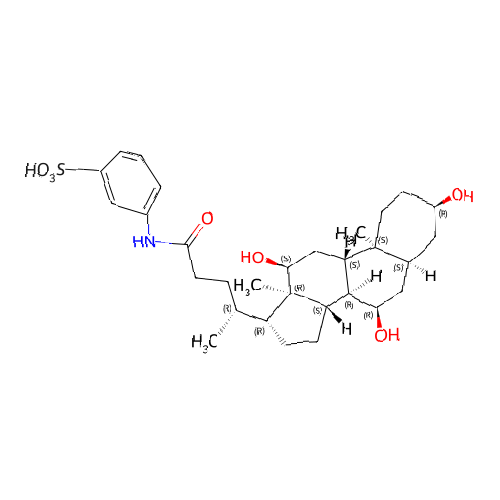 C[C@H](CCC(=O)Nc1cccc(S(=O)(=O)O)c1)[C@H]1CC[C@H]2[C@@H]3[C@H](O)C[C@@H]4C[C@H](O)CC[C@]4(C)[C@H]3C[C@H](O)[C@]12C